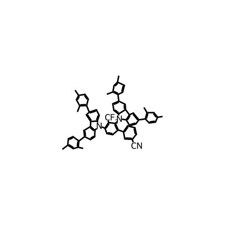 Cc1ccc(-c2ccc3c(c2)c2cc(-c4ccc(C)cc4C)ccc2n3-c2ccc(-c3cccc(C#N)c3)c(-n3c4ccc(-c5ccc(C)cc5C)cc4c4cc(-c5ccc(C)cc5C)ccc43)c2C(F)(F)F)c(C)c1